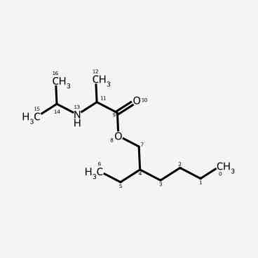 CCCCC(CC)COC(=O)C(C)NC(C)C